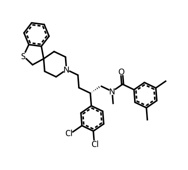 Cc1cc(C)cc(C(=O)N(C)C[C@@H](CCN2CCC3(CC2)CSc2ccccc23)c2ccc(Cl)c(Cl)c2)c1